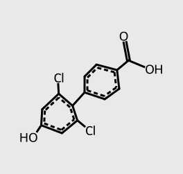 O=C(O)c1ccc(-c2c(Cl)cc(O)cc2Cl)cc1